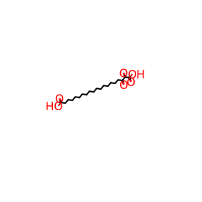 O=C(O)CCCCCCCCCCCCCCCCC(=O)C(=O)C(=O)O